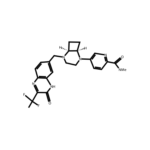 CNC(=O)c1ccc(N2CCN(Cc3ccc4nc(C(C)(F)F)c(=O)[nH]c4c3)[C@H]3CC[C@H]32)cn1